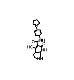 O=C(Nc1ccc(N2CCCC2)cc1)C1=C(O)C2CCNCC2NC1=O